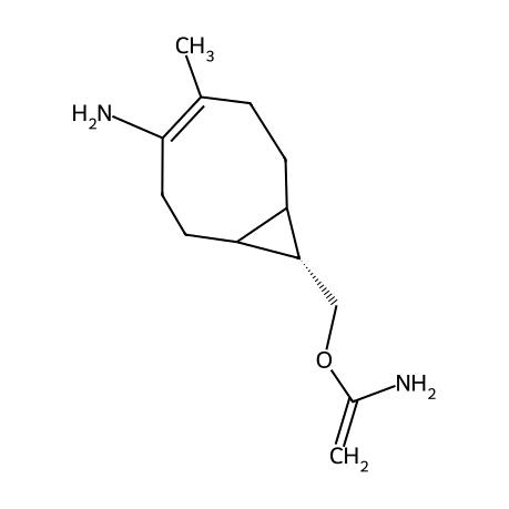 C=C(N)OC[C@H]1C2CC/C(C)=C(/N)CCC21